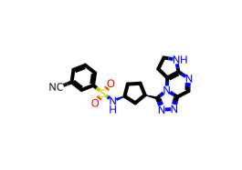 N#Cc1cccc(S(=O)(=O)N[C@H]2CC[C@@H](c3nnc4cnc5c(n34)CCN5)C2)c1